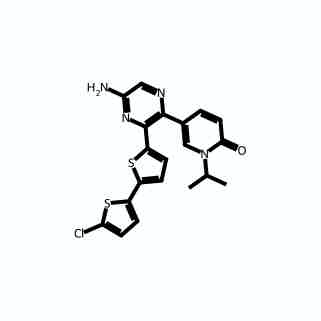 CC(C)n1cc(-c2ncc(N)nc2-c2ccc(-c3ccc(Cl)s3)s2)ccc1=O